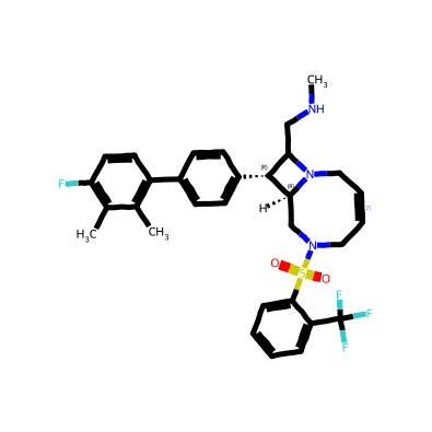 CNCC1[C@@H](c2ccc(-c3ccc(F)c(C)c3C)cc2)[C@@H]2CN(S(=O)(=O)c3ccccc3C(F)(F)F)C/C=C\CN12